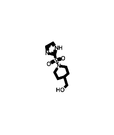 O=S(=O)(c1ncc[nH]1)N1CCC(CO)CC1